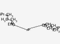 CC[C@H](COCCCCCCCCCCCCCCC[C@H]1CC[C@@H](CCCCCCCCCCCCCCCOC[C@@H](CO)OCCC(C)CCC[C@H](C)CCC[C@H](C)CCCC(C)C)C1)OCCC(C)CCC[C@H](C)CCC[C@H](C)CCCC(C)C